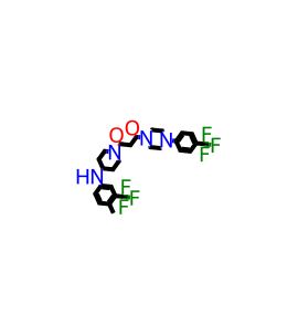 Cc1ccc(NC2CCN(C(=O)CC(=O)N3CCN(c4ccc(C(F)(F)F)cc4)CC3)CC2)cc1C(F)(F)F